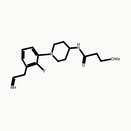 COCCC(=O)NC1CCN(c2cccc(CC=N)c2F)CC1